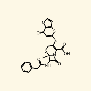 O=C(Cc1ccccc1)NC1C(=O)N2C(C(=O)O)=C(Sc3cc(=O)c4occc4s3)CS[C@@H]12